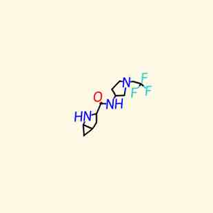 O=C(NC1CCN(CC(F)(F)F)C1)C1CC2CC2N1